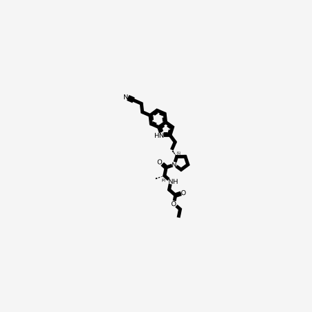 CCOC(=O)CN[C@H](C)C(=O)N1CCC[C@H]1CCc1cc2ccc(CCC#N)cc2[nH]1